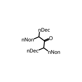 CCCCCCCCCCC(CCCCCCCCC)C(=O)C(CCCCCCCCC)CCCCCCCCCC